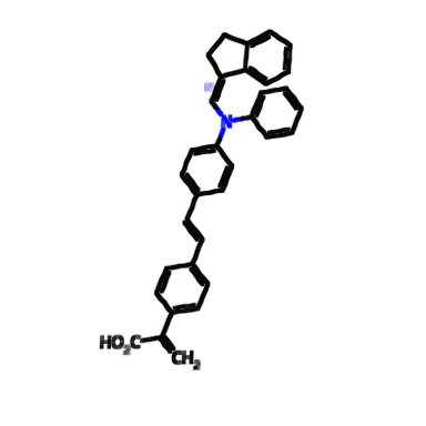 C=C(C(=O)O)c1ccc(C=Cc2ccc(N(/C=C3/CCc4ccccc43)c3ccccc3)cc2)cc1